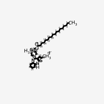 CCCCCCCCCCCCCCCCCC(=O)OC[N+]1(C)CCN(C2=Nc3ccccc3Nc3sc(C)cc32)CC1.[I-]